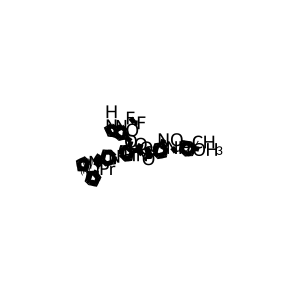 CC(C)c1ccccc1[C@H]1CCC[C@H]1N1CC2(CCN(c3ccc(C(=O)NS(=O)(=O)c4ccc(NC[C@H]5CC[C@](C)(O)CC5)c([N+](=O)[O-])c4)c(Oc4cc5cc[nH]c5nc4OC(F)F)c3)CC2)C1